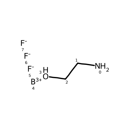 NCCO.[B+3].[F-].[F-].[F-]